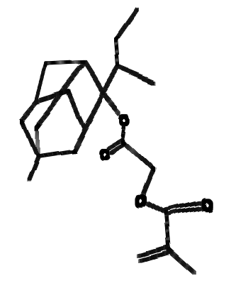 C=C(C)C(=O)OCC(=O)OC1(C(C)CC)C2CC3CC1CC(C)(C3)C2